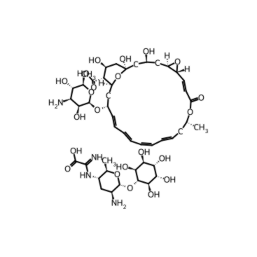 C[C@@H]1C/C=C/C=C\C=C\C=C\[C@H](O[C@@H]2O[C@H](C)[C@@H](O)[C@H](N)[C@@H]2O)C[C@@H]2O[C@](O)(C[C@@H](O)C[C@H]3O[C@@H]3/C=C/C(=O)O1)C[C@H](O)[C@H]2C(=O)O.C[C@H]1O[C@H](O[C@H]2[C@H](O)[C@@H](O)[C@@H](O)[C@H](O)[C@@H]2O)[C@@H](N)C[C@@H]1NC(=N)C(=O)O